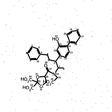 CC(C(CCc1ccccc1)c1ccc(-c2ccccc2)c(O)c1)N(CC(=O)O)C(=O)C1COC(C(=O)O)(C(=O)O)O1